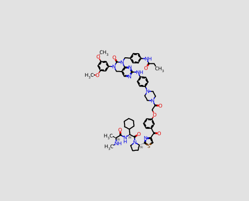 CCC(=O)Nc1ccc(CN2C(=O)N(c3cc(OC)cc(OC)c3)Cc3cnc(Nc4ccc(N5CCN(C(=O)COc6cccc(C(=O)c7csc([C@@H]8CCCN8C(=O)[C@@H](NC(=O)[C@H](C)NC)C8CCCCC8)n7)c6)CC5)cc4)nc32)cc1